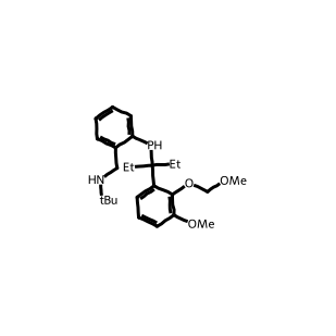 CCC(CC)(Pc1ccccc1CNC(C)(C)C)c1cccc(OC)c1OCOC